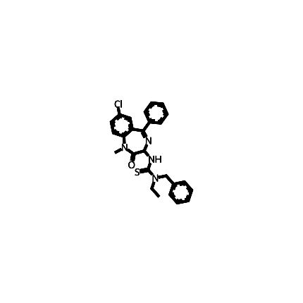 CCN(Cc1ccccc1)C(=S)NC1N=C(c2ccccc2)c2cc(Cl)ccc2N(C)C1=O